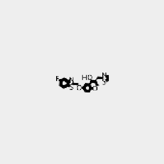 O[C@H]1c2cc(OCc3nc4cc(F)ccc4s3)ccc2OC[C@@H]1Cc1nccs1